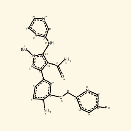 CC(C)(C)n1nc(-c2ccc(N)c(OCc3ccc(F)cn3)c2)c(C(N)=O)c1Nc1cnccn1